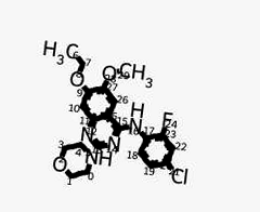 C1COCCN1.CCOc1cc2ncnc(Nc3ccc(Cl)cc3F)c2cc1OC